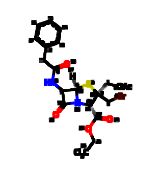 CC(=O)OC[C@@]1(CBr)S[C@@H]2C(NC(=O)Cc3ccccc3)C(=O)N2[C@H]1C(=O)OCC(Cl)(Cl)Cl